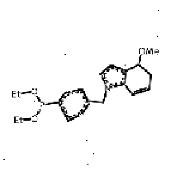 CCOP(OCC)c1ccc(Cn2ccc3c2C=CCC3OC)cc1